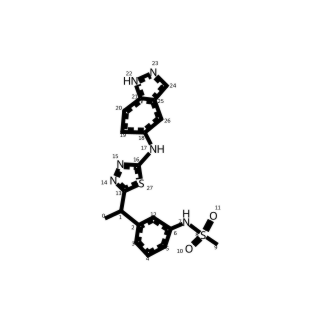 CC(c1cccc(NS(C)(=O)=O)c1)c1nnc(Nc2ccc3[nH]ncc3c2)s1